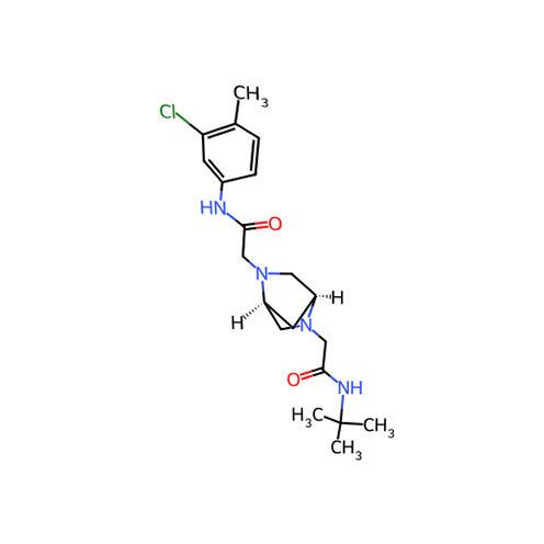 Cc1ccc(NC(=O)CN2C[C@@H]3C[C@H]2CN3CC(=O)NC(C)(C)C)cc1Cl